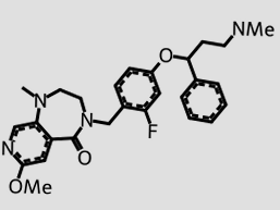 CNCCC(Oc1ccc(CN2CCN(C)c3cnc(OC)cc3C2=O)c(F)c1)c1ccccc1